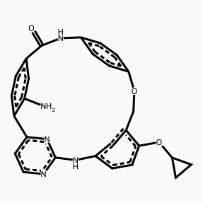 Nc1cc2ccc1-c1ccnc(n1)Nc1ccc(OC3CC3)c(c1)COc1ccc(cc1)NC2=O